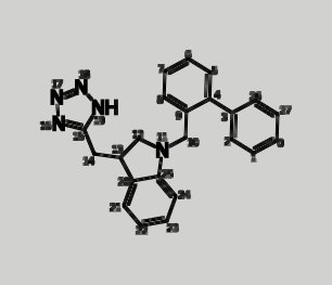 c1ccc(-c2ccccc2CN2CC(Cc3nnn[nH]3)c3ccccc32)cc1